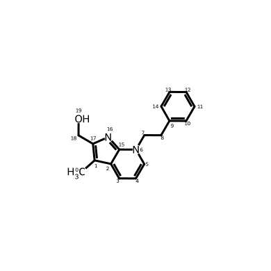 Cc1c2cccn(CCc3ccccc3)c-2nc1CO